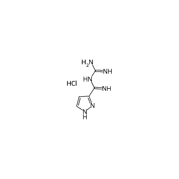 Cl.N=C(N)NC(=N)c1cc[nH]n1